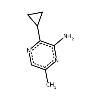 Cc1cnc(C2CC2)c(N)n1